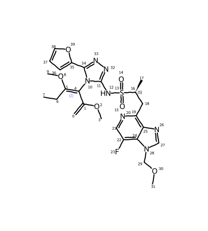 C=C(OC)/C(=C(\CC)OC)n1c(NS(=O)(=O)[C@@H](C)Cc2ncc(F)c3c2ncn3COC)nnc1-c1ccco1